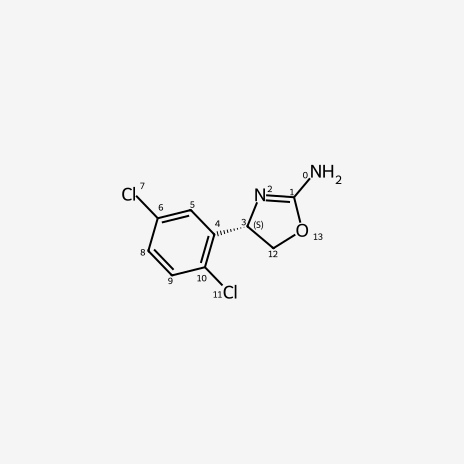 NC1=N[C@@H](c2cc(Cl)ccc2Cl)CO1